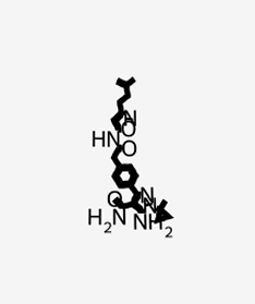 C=C(C)CCc1cc(NC(=O)Cc2ccc(-c3nn(C4(C)CC4)c(N)c3C(N)=O)cc2)on1